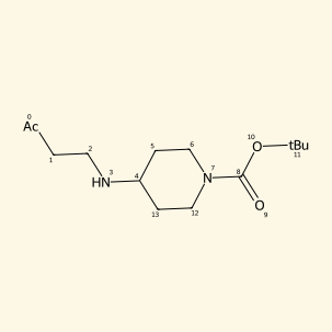 CC(=O)CCNC1CCN(C(=O)OC(C)(C)C)CC1